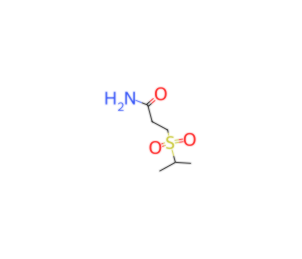 CC(C)S(=O)(=O)CCC(N)=O